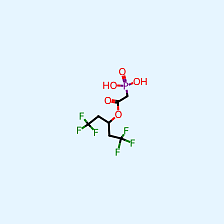 O=C(CP(=O)(O)O)OC(CC(F)(F)F)CC(F)(F)F